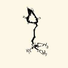 C[Si](C)(C)CCCCc1ccccc1